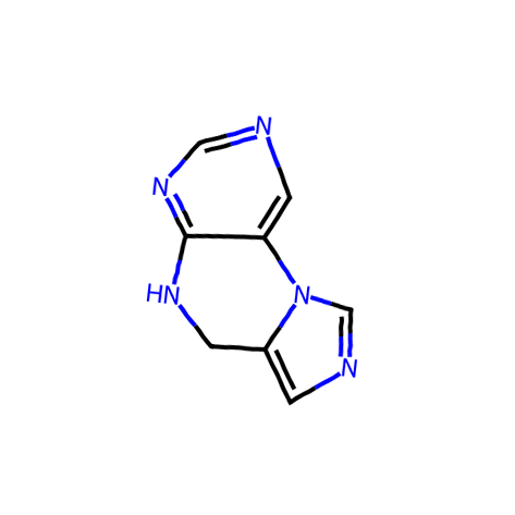 c1ncc2c(n1)NCc1cncn1-2